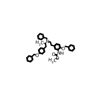 COC(=O)Nc1cc(CCN(Cc2ccccc2)[C@H](C)Cc2ccc(OCc3ccccc3)cc2)ccc1OCc1ccccc1